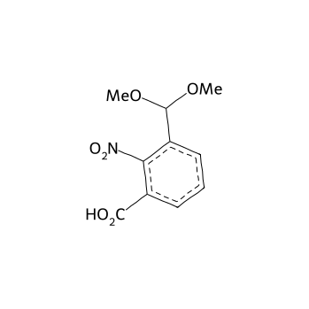 COC(OC)c1cccc(C(=O)O)c1[N+](=O)[O-]